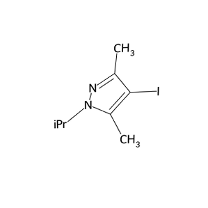 Cc1nn(C(C)C)c(C)c1I